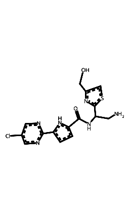 NCC(NC(=O)c1ccc(-c2ncc(Cl)cn2)[nH]1)c1nc(CO)cs1